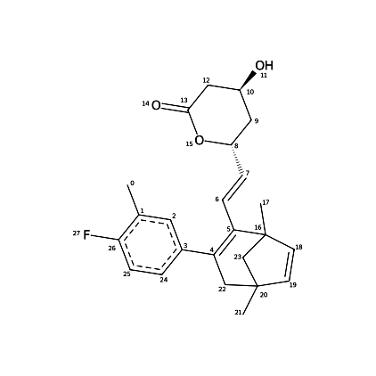 Cc1cc(C2=C(C=C[C@H]3C[C@H](O)CC(=O)O3)C3(C)C=CC(C)(C2)C3)ccc1F